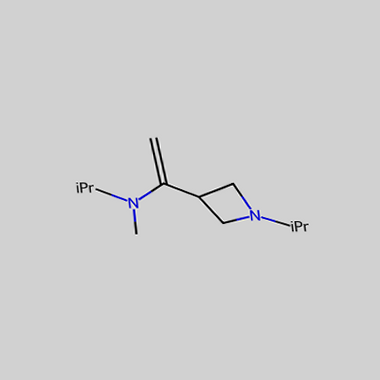 C=C(C1CN(C(C)C)C1)N(C)C(C)C